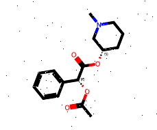 CC(=O)O[C@@H](C(=O)O[C@H]1CCCN(C)C1)c1ccccc1